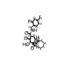 C[C@H]1[C@H]2CCCCN1C(=O)c1c(O)c(=O)c(C(=O)NCc3ccc(F)cc3F)cn12